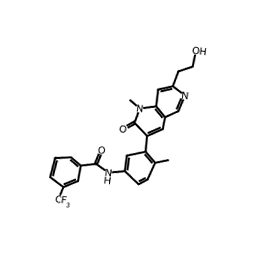 Cc1ccc(NC(=O)c2cccc(C(F)(F)F)c2)cc1-c1cc2cnc(CCO)cc2n(C)c1=O